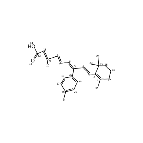 CC1=C(C=CC(=CC=C/C(C)=C/C(=O)O)c2ccc(C)cc2)C(C)(C)CCC1